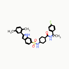 Cc1ccc(C)c(-c2cc3ccc(S(=O)(=O)NC4CCC(C(=O)N[C@H](C)c5ccc(F)cc5)CC4)cc3[nH]2)c1